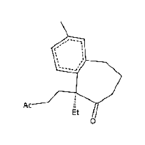 CC[C@@]1(CCC(C)=O)C(=O)CCCc2cc(C)ccc21